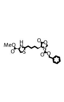 COC(=O)[C@@H]1CSC(CCCC[C@H]2C(=O)OCN2C(=O)OCc2ccccc2)N1